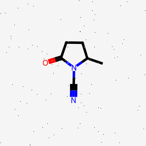 CC1CCC(=O)N1C#N